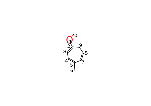 COC1=CC=C(C)C=CC1